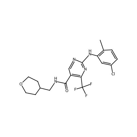 Cc1ccc(Cl)cc1Nc1ncc(C(=O)NCC2CCOCC2)c(C(F)(F)F)n1